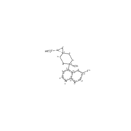 O=C(O)C1CC12CCC(O)(c1ccnc3ccc(F)cc13)CC2